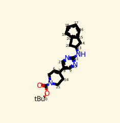 CC(C)(C)OC(=O)N1CC=C(c2cnc(NC3Cc4ccccc4C3)nc2)CC1